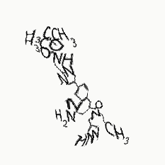 CCCN(Cc1cn[nH]c1)C(=O)C1=Cc2ccc(-c3cnc(CNC(=O)OC(C)(C)C)nc3)cc2N=C(N)C1